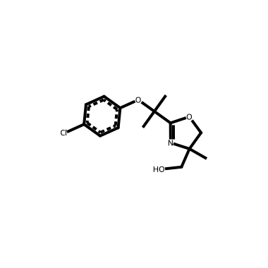 CC1(CO)COC(C(C)(C)Oc2ccc(Cl)cc2)=N1